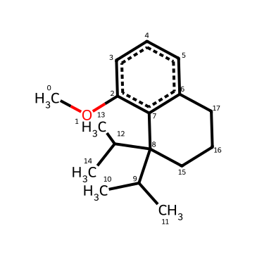 COc1cccc2c1C(C(C)C)(C(C)C)CCC2